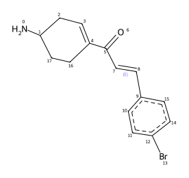 NC1CC=C(C(=O)/C=C/c2ccc(Br)cc2)CC1